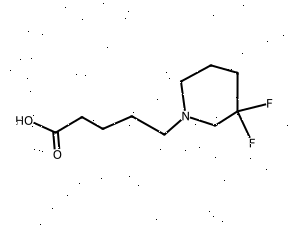 O=C(O)CCCCN1CCCC(F)(F)C1